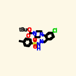 Cc1ccc(S(=O)(=O)N/N=C/c2ccc(Cl)cc2N2CCN(C(=O)OC(C)(C)C)CC2)cc1